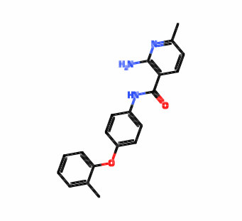 Cc1ccc(C(=O)Nc2ccc(Oc3ccccc3C)cc2)c(N)n1